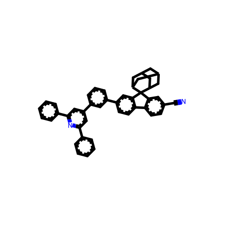 N#Cc1ccc2c(c1)C1(c3cc(-c4cccc(-c5cc(-c6ccccc6)nc(-c6ccccc6)c5)c4)ccc3-2)C2CC3CC(C2)CC1C3